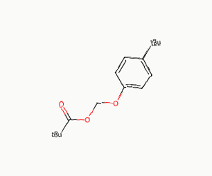 CC(C)(C)C(=O)OCOc1ccc(C(C)(C)C)cc1